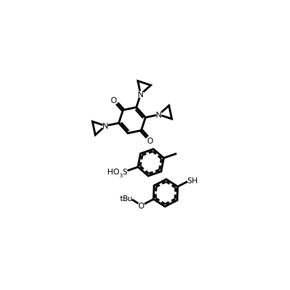 CC(C)(C)Oc1ccc(S)cc1.Cc1ccc(S(=O)(=O)O)cc1.O=C1C=C(N2CC2)C(=O)C(N2CC2)=C1N1CC1